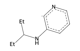 CCC(CC)Nc1[c]nccc1